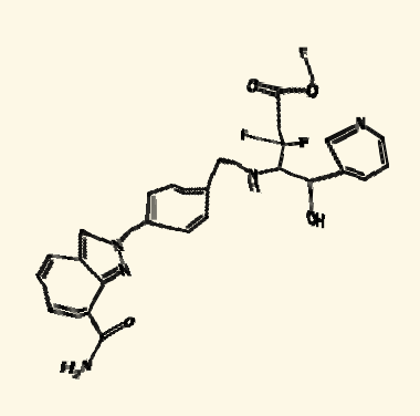 NC(=O)c1cccc2cn(-c3ccc(CNC(C(O)c4cccnc4)C(F)(F)C(=O)OF)cc3)nc12